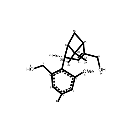 COc1cc(C)cc(CO)c1[C@@H]1C=C(CO)C2CC1C2(C)C